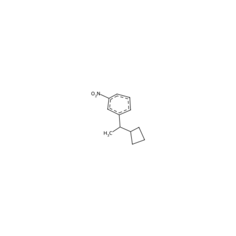 CC(c1cccc([N+](=O)[O-])c1)C1CCC1